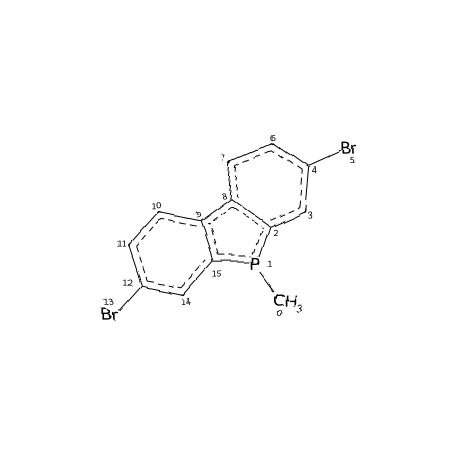 Cp1c2cc(Br)ccc2c2ccc(Br)cc21